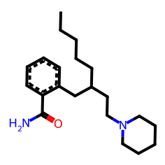 CCCCCC(CCN1CCCCC1)Cc1ccccc1C(N)=O